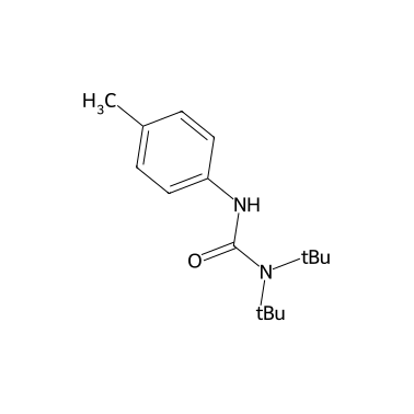 Cc1ccc(NC(=O)N(C(C)(C)C)C(C)(C)C)cc1